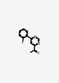 CC(=O)c1cc(-c2ccccc2F)ncn1